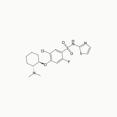 CN(C)[C@@H]1CCCC[C@H]1Oc1cc(F)c(S(=O)(=O)Nc2nccs2)cc1Cl